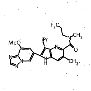 COc1cc(-c2[nH]c3cc(C)c(C(=O)N(C)CCC(F)(F)F)nc3c2C(C)C)cn2ncnc12